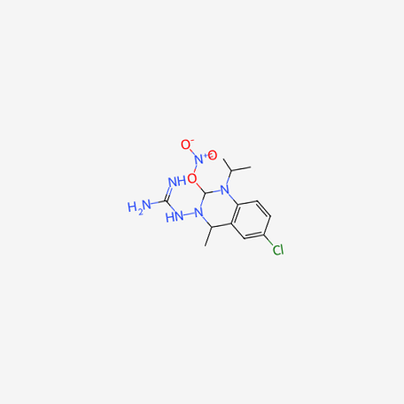 CC1c2cc(Cl)ccc2N(C(C)C)C(O[N+](=O)[O-])N1NC(=N)N